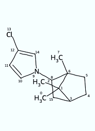 CC1(C)C2CCC1(C)C(n1ccc(Cl)c1)C2